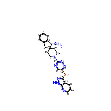 N[C@@H]1c2ccccc2CC12CCN(c1ncc(Sc3n[nH]c4ncccc34)nn1)CC2